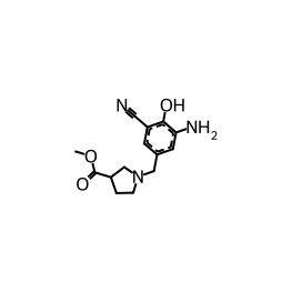 COC(=O)C1CCN(Cc2cc(N)c(O)c(C#N)c2)C1